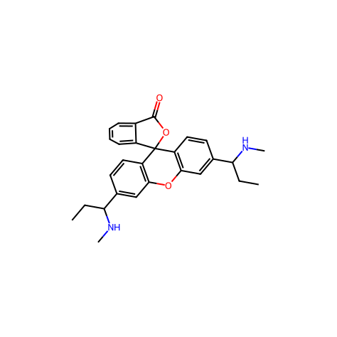 CCC(NC)c1ccc2c(c1)Oc1cc(C(CC)NC)ccc1C21OC(=O)c2ccccc21